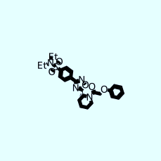 CCN(CC)S(=O)(=O)c1ccc(-c2noc([C@H]3CCCCN3C(=O)COc3ccccc3)n2)cc1